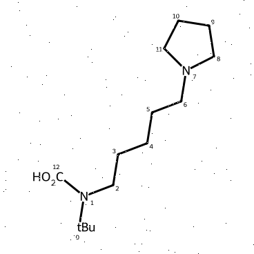 CC(C)(C)N(CCCCCN1CCCC1)C(=O)O